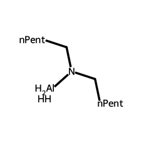 CCCCCC[N]([AlH2])CCCCCC.[HH]